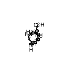 CC1(c2cccc(CCC(=O)O)c2)CC(=O)NCCCCCc2c(c(F)cc3[nH]ccc23)Oc2ccc(F)c(c2)-c2ncc1[nH]2